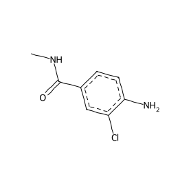 CNC(=O)c1ccc(N)c(Cl)c1